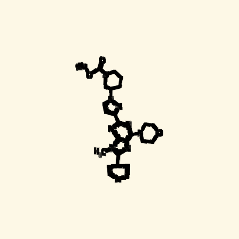 Cn1c(-c2ccncc2)nc2c(N3CCOCC3)nc(-c3ccn(C4CCCN(C(=O)OC(C)(C)C)C4)n3)nc21